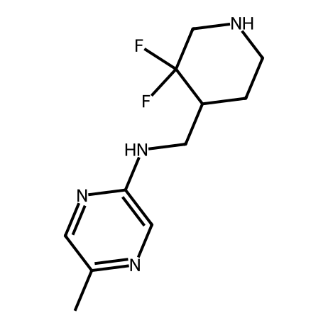 Cc1cnc(NCC2CCNCC2(F)F)cn1